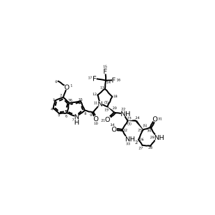 COc1cccc2[nH]c(C(=O)N3CC(C(F)(F)F)C[C@H]3C(=O)N[C@@H](C[C@@H]3CCCNC3=O)C(N)=O)cc12